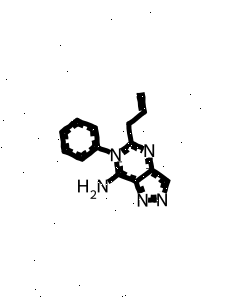 C=CCc1nc2cnnc-2c(N)n1-c1ccccc1